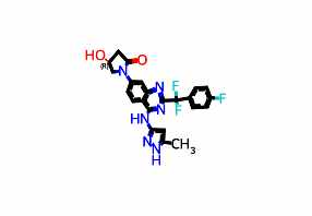 Cc1cc(Nc2nc(C(F)(F)c3ccc(F)cc3)nc3cc(N4C[C@H](O)CC4=O)ccc23)n[nH]1